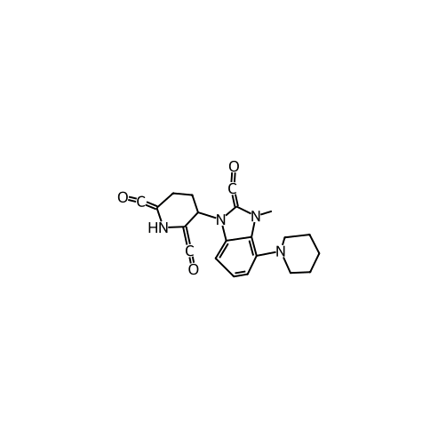 CN1C(=C=O)N(C2CCC(=C=O)NC2=C=O)c2cccc(N3CCCCC3)c21